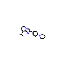 CC(C)c1cccn2cc(-c3ccc(N4CCCC4)cc3)nc12